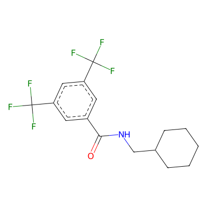 O=C(NCC1CCCCC1)c1cc(C(F)(F)F)cc(C(F)(F)F)c1